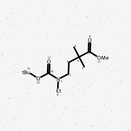 CCN(CCC(C)(C)C(=O)OC)C(=O)OC(C)(C)C